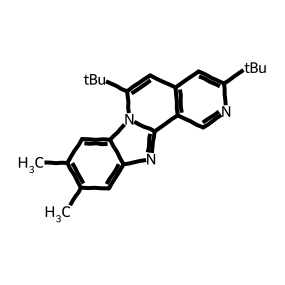 Cc1cc2nc3c4cnc(C(C)(C)C)cc4cc(C(C)(C)C)n3c2cc1C